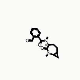 CN1C(=O)[C@@H](N(C)C(=O)c2ccccc2C=O)CCC2CC21